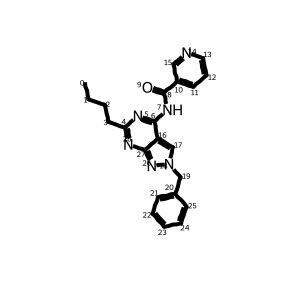 CCCCc1nc(NC(=O)c2cccnc2)c2cn(Cc3ccccc3)nc2n1